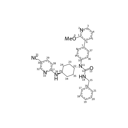 COc1ncccc1-c1ccc(N(C(=O)NCc2ccccc2)[C@H]2CC[C@H](Nc3ccc(C#N)cn3)CC2)cc1